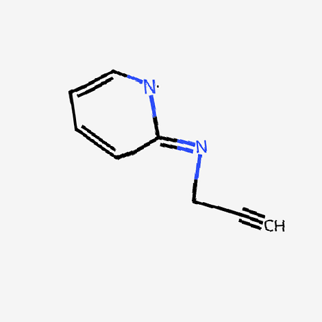 C#CCN=C1C=CC=C[N]1